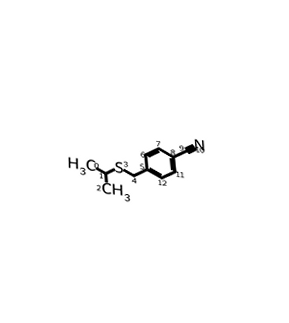 CC(C)SCc1ccc(C#N)cc1